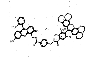 O=C(NCc1c2oc3cc(O)ccc3c(-c3ccccc3C(=O)O)c-2ccc1=O)c1ccc(CNC(=O)c2cc(Cl)c(C3=c4cc5c6c(c4Oc4c3cc3c7c4CCCN7CCC3)CCC[N+]=6CCC5)c(C(=O)O)c2Cl)cc1